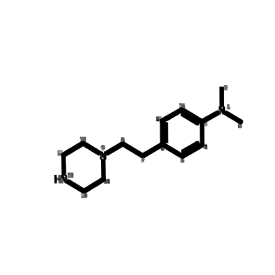 CN(C)c1ccc(CCN2CCNCC2)cc1